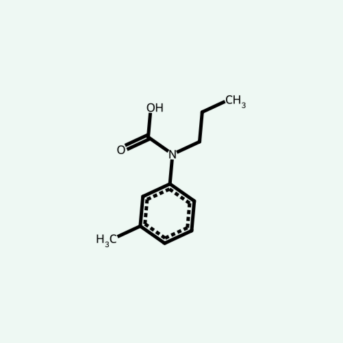 CCCN(C(=O)O)c1cccc(C)c1